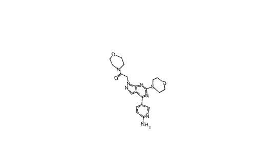 Nc1ccc(-c2nc(N3CCOCC3)nc3c2cnn3CC(=O)N2CCOCC2)cn1